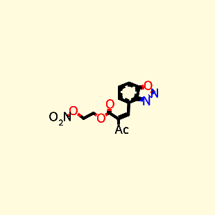 CC(=O)/C(=C/c1cccc2onnc12)C(=O)OCCO[N+](=O)[O-]